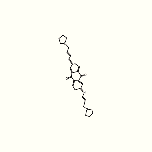 O=C1C2=CCC(=NC=CCN3CCCC3)C=C2C(=O)C2=CCC(=NC=CCN3CCCC3)C=C12